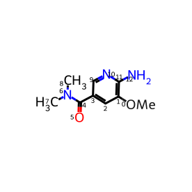 COc1cc(C(=O)N(C)C)cnc1N